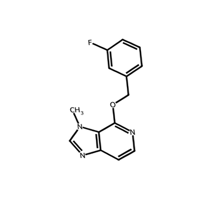 Cn1cnc2ccnc(OCc3cccc(F)c3)c21